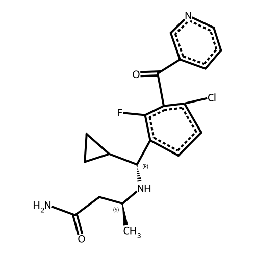 C[C@@H](CC(N)=O)N[C@@H](c1ccc(Cl)c(C(=O)c2cccnc2)c1F)C1CC1